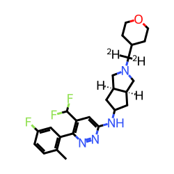 [2H]C([2H])(C1CCOCC1)N1C[C@H]2CC(Nc3cc(C(F)F)c(-c4cc(F)ccc4C)nn3)C[C@H]2C1